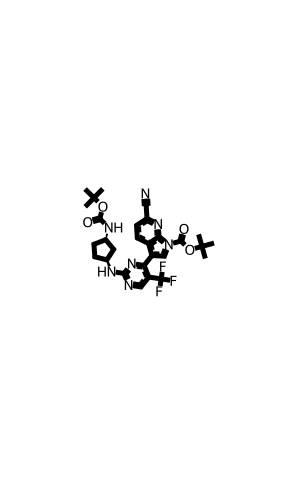 CC(C)(C)OC(=O)N[C@H]1CC[C@H](Nc2ncc(C(F)(F)F)c(-c3cn(C(=O)OC(C)(C)C)c4nc(C#N)ccc34)n2)C1